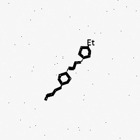 C/C=C/CC[C@H]1CC[C@H](/C=C/CC[C@H]2CC[C@H](CC)CC2)CC1